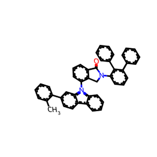 Cc1ccccc1-c1ccc2c3ccccc3n(-c3cccc4c3CN(c3cccc(-c5ccccc5)c3-c3ccccc3)C4=O)c2c1